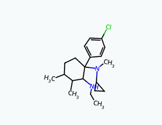 CCNC1C(C)C(C)CCC1(c1ccc(Cl)cc1)N(C)C1CC1